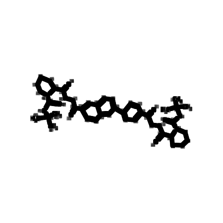 CC(C)(C)OC(=O)N1CCCCC1C(=O)OCC(=O)c1ccc(-c2ccc3cc(C(=O)COC(=O)C4CCCCN4C(=O)OC(C)(C)C)ccc3c2)cc1